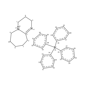 C1CCC2=NCCC[NH+]2CC1.c1ccc([B-](c2ccccc2)(c2ccccc2)c2ccccc2)cc1